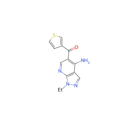 CCn1ncc2c(N)c(C(=O)c3ccsc3)cnc21